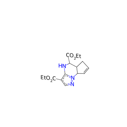 CCOC(=O)c1cnn2c1NC(C(=O)OCC)C1CC=CC12